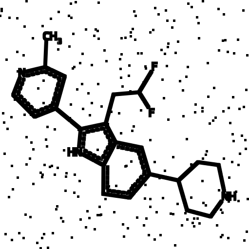 Cc1cc(-c2[nH]c3ccc(C4CCNCC4)cc3c2CC(F)F)ccn1